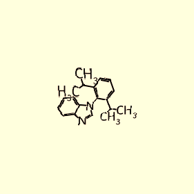 CC(C)c1cccc(C(C)C)c1-n1cnc2ccccc21